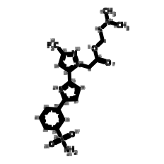 CN(C)SCOC(=O)Cn1nc(C(F)(F)F)cc1-c1ccc(-c2cccc(S(N)(=O)=O)c2)s1